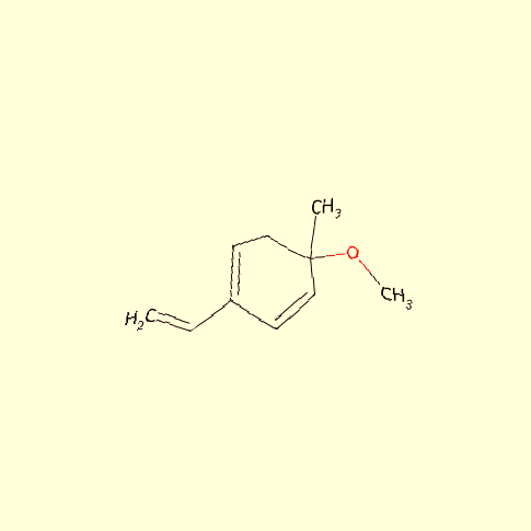 C=CC1=CCC(C)(OC)C=C1